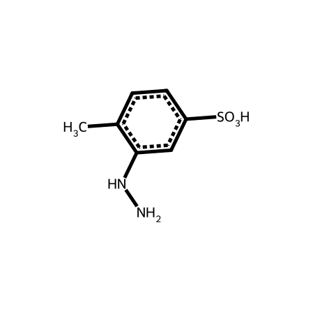 Cc1ccc(S(=O)(=O)O)cc1NN